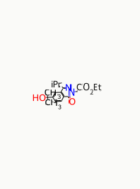 CCOC(=O)Cn1nc(C(C)C)c2cc(C(C)(C)O)ccc2c1=O